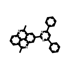 Cc1nc2cc(-c3nc(-c4ccccc4)cc(-c4ccccc4)n3)cc3c(C)nc4cccc1c4c23